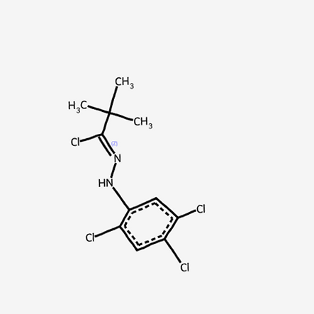 CC(C)(C)/C(Cl)=N/Nc1cc(Cl)c(Cl)cc1Cl